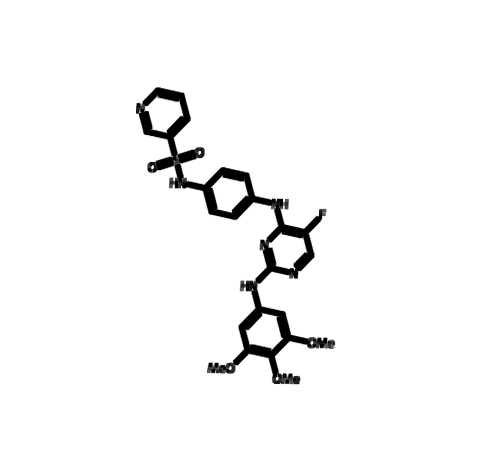 COc1cc(Nc2ncc(F)c(Nc3ccc(NS(=O)(=O)c4cccnc4)cc3)n2)cc(OC)c1OC